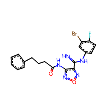 N=C(Nc1ccc(F)c(Br)c1)c1nonc1NC(=O)CCCc1ccccc1